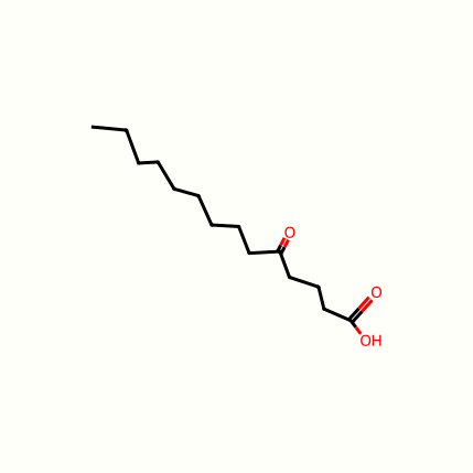 CCCCCCCCCC(=O)CCCC(=O)O